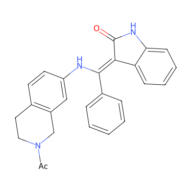 CC(=O)N1CCc2ccc(NC(=C3C(=O)Nc4ccccc43)c3ccccc3)cc2C1